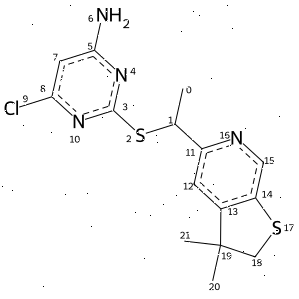 CC(Sc1nc(N)cc(Cl)n1)c1cc2c(cn1)SCC2(C)C